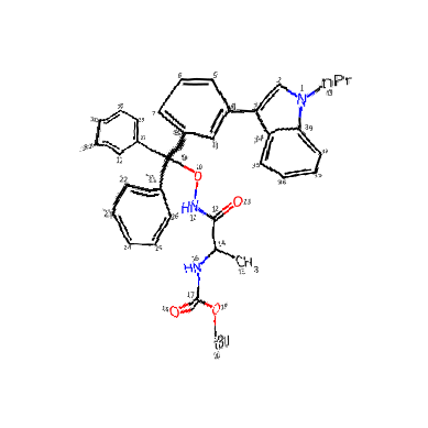 CCCn1cc(-c2cccc(C(ONC(=O)C(C)NC(=O)OC(C)(C)C)(c3ccccc3)c3ccccc3)c2)c2ccccc21